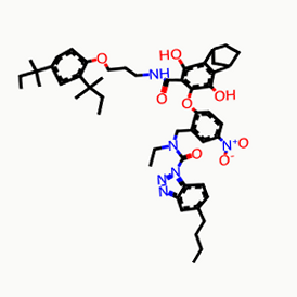 CCCCc1ccc2c(c1)nnn2C(=O)N(CC)Cc1cc([N+](=O)[O-])ccc1Oc1c(O)c2c(c(O)c1C(=O)NCCCOc1ccc(C(C)(C)CC)cc1C(C)(C)CC)C1CCC2C1